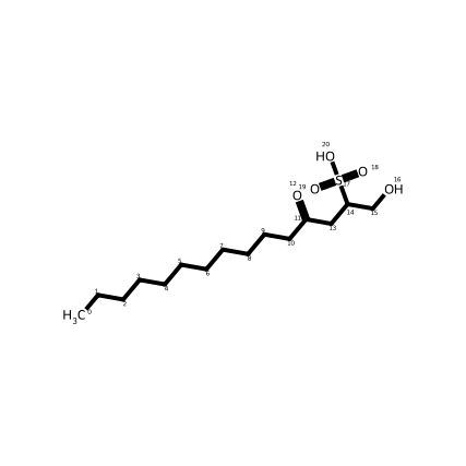 CCCCCCCCCCCC(=O)CC(CO)S(=O)(=O)O